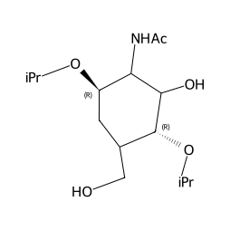 CC(=O)NC1C(O)[C@H](OC(C)C)C(CO)C[C@H]1OC(C)C